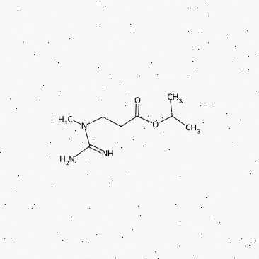 CC(C)OC(=O)CCN(C)C(=N)N